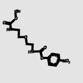 CC(C)(C)OC(=O)NCCOCCNC(=O)Oc1ccc([N+](=O)[O-])cc1